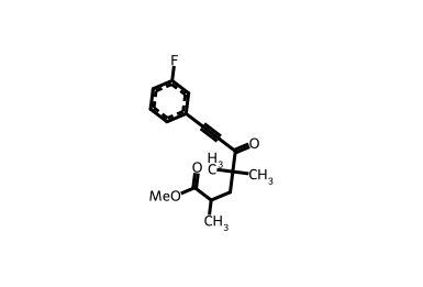 COC(=O)C(C)CC(C)(C)C(=O)C#Cc1cccc(F)c1